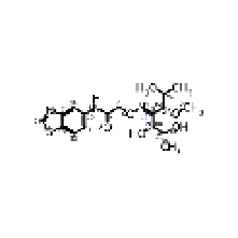 CO[C@H](/C(=N/OCC(=O)Nc1ccc2scnc2c1)[C@@H](O)[C@@H](C)O)C(C)C